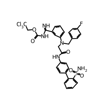 N=C(NC(=O)OCC(Cl)(Cl)Cl)c1cccc(N(CC(=O)Nc2ccc(-c3ccccc3S(N)(=O)=O)cc2)Cc2ccc(F)cc2)c1